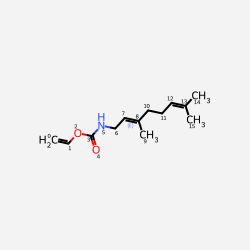 C=COC(=O)NC/C=C(\C)CCC=C(C)C